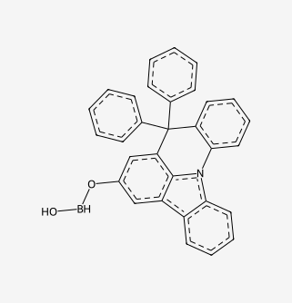 OBOc1cc2c3c(c1)c1ccccc1n3-c1ccccc1C2(c1ccccc1)c1ccccc1